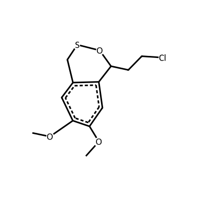 COc1cc2c(cc1OC)C(CCCl)OSC2